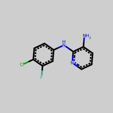 Nc1cccnc1Nc1ccc(Cl)c(F)c1